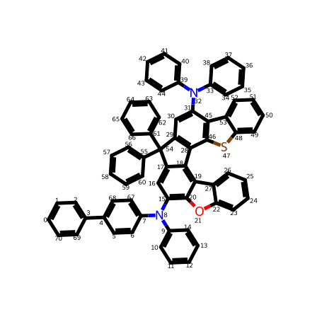 c1ccc(-c2ccc(N(c3ccccc3)c3cc4c(c5c3oc3ccccc35)-c3c(cc(N(c5ccccc5)c5ccccc5)c5c3sc3ccccc35)C4(c3ccccc3)c3ccccc3)cc2)cc1